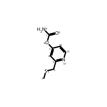 CSCc1cc(OC(N)=O)ccn1